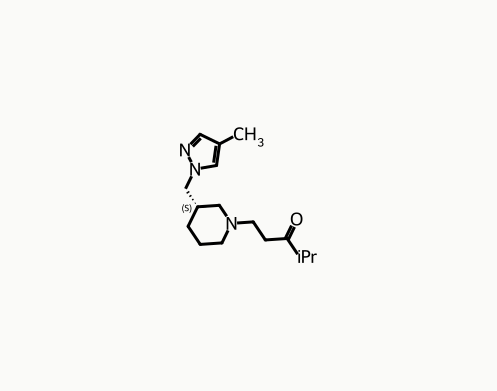 Cc1cnn(C[C@H]2CCCN(CCC(=O)C(C)C)C2)c1